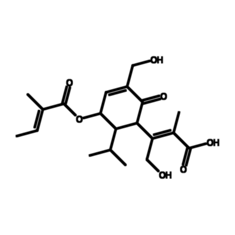 CC=C(C)C(=O)OC1C=C(CO)C(=O)C(C(CO)=C(C)C(=O)O)C1C(C)C